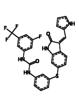 O=C(Nc1cccc(Sc2ccc3c(c2)NC(=O)C3=Cc2ccc[nH]2)c1)Nc1cc(F)cc(C(F)(F)F)c1